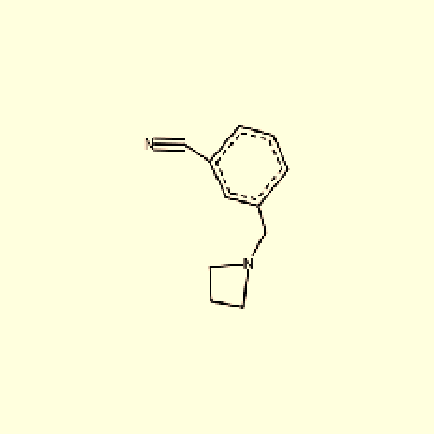 N#Cc1cccc(CN2CCC2)c1